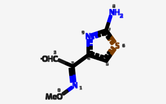 CON=C([C]=O)c1csc(N)n1